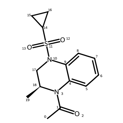 CC(=O)N1c2ccccc2N(S(=O)(=O)C2CC2)C[C@@H]1C